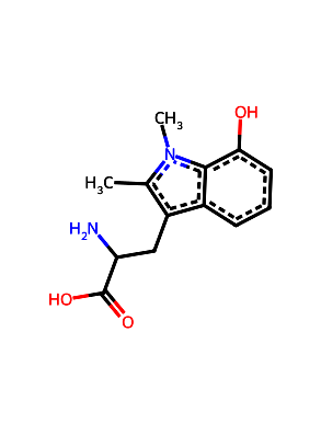 Cc1c(CC(N)C(=O)O)c2cccc(O)c2n1C